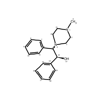 CN1CCN([C@H](c2ccccc2)[C@@H](O)c2ccccc2)CC1